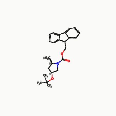 O=C(O)[C@@H]1C[C@@H](OC(C(F)(F)F)(C(F)(F)F)C(F)(F)F)CN1C(=O)OCC1c2ccccc2-c2ccccc21